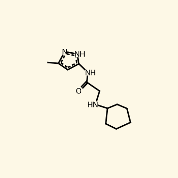 Cc1cc(NC(=O)CNC2CCCCC2)[nH]n1